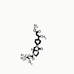 COC(=O)C=C(C)c1ccc(N2C[C@@H]3CN(C(=O)OC(C)(C)C)CCN3C2=O)cc1